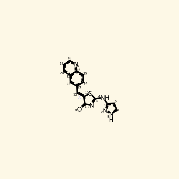 O=C1N=C(Nc2cc[nH]n2)S/C1=C\c1ccc2ncccc2c1